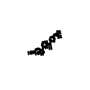 CCN(CC)Cc1ccc(Nc2nccc(-c3cn[nH]c3/C=C\C=N)n2)cc1